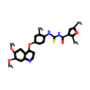 COc1cc2nccc(Oc3ccc(NC(=S)NC(=O)c4cc(C)oc4C)c(C)c3)c2cc1OC